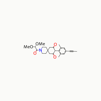 CC#Cc1cc(C)c(C2C(=O)CC3(CCN(C(=O)C(OC)OC)CC3)CC2=O)c(C)c1